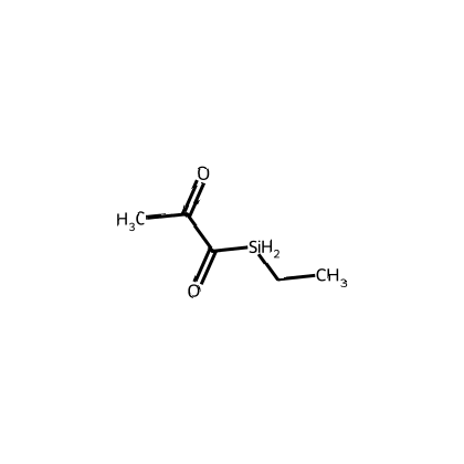 CC[SiH2]C(=O)C(C)=O